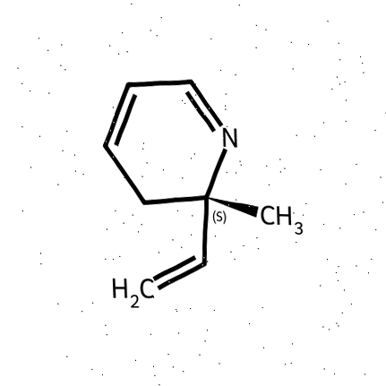 C=C[C@]1(C)CC=CC=N1